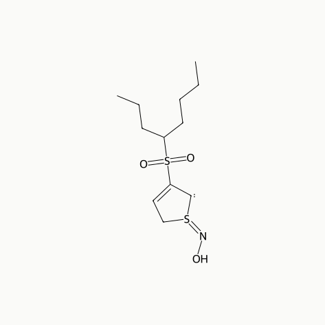 CCCCC(CCC)S(=O)(=O)C1=CCS(=NO)[C]1